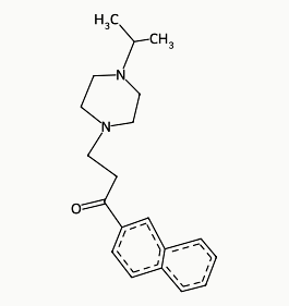 CC(C)N1CCN(CCC(=O)c2ccc3ccccc3c2)CC1